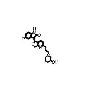 O=C1Nc2ccc(F)cc2/C1=C1\OCc2nc(CCCN3CCCC(O)C3)ccc21